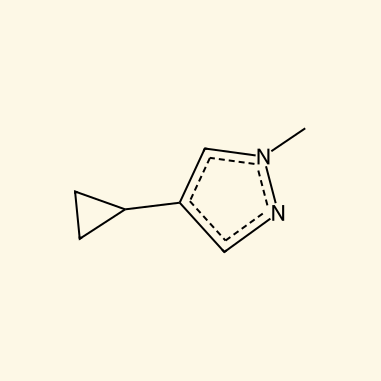 Cn1cc(C2CC2)cn1